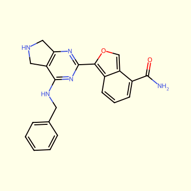 NC(=O)c1cccc2c(-c3nc4c(c(NCc5ccccc5)n3)CNC4)occ12